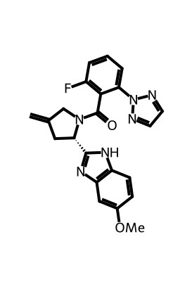 C=C1C[C@@H](c2nc3cc(OC)ccc3[nH]2)N(C(=O)c2c(F)cccc2-n2nccn2)C1